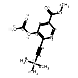 COC(=O)c1cnc(C#C[Si](C)(C)C)c(OC(C)=O)c1